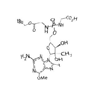 COc1nc(N)nc2c1nc(I)n2[C@@H]1O[C@H](COP(=O)(NCC(=O)O)NCC(=O)OCC(C)(C)C)[C@@H](O)[C@@]1(C)O